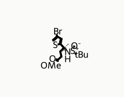 COC(=O)CC[C@](C)(N[S+]([O-])C(C)(C)C)c1cc(Br)cs1